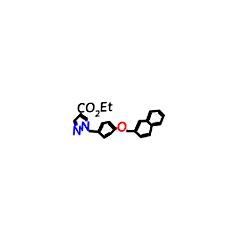 CCOC(=O)c1cnn(Cc2ccc(OCc3ccc4ccccc4c3)cc2)c1